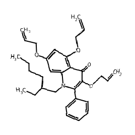 C=CCOc1cc(OCC=C)c2c(=O)c(OCC=C)c(-c3ccccc3)n(CC(CC)CCCC)c2c1